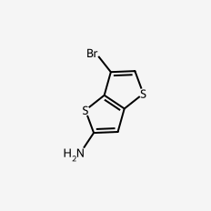 Nc1cc2scc(Br)c2s1